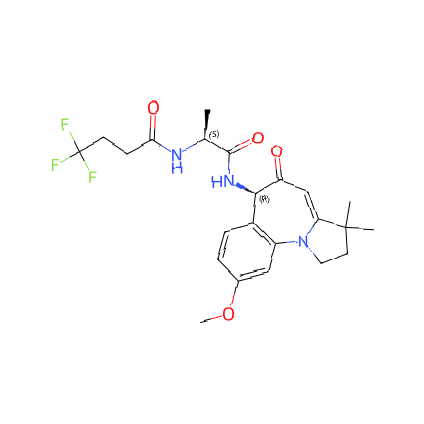 COc1ccc2c(c1)N1CCC(C)(C)C1=CC(=O)[C@@H]2NC(=O)[C@H](C)NC(=O)CCC(F)(F)F